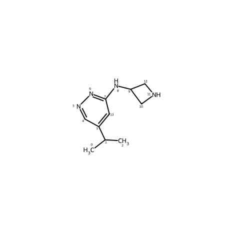 CC(C)c1cnnc(NC2CNC2)c1